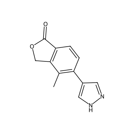 Cc1c(-c2cn[nH]c2)ccc2c1COC2=O